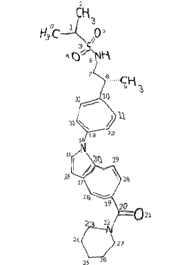 CC(C)S(=O)(=O)NC[C@H](C)c1ccc(-n2ccc3cc(C(=O)N4CCCCC4)ccc32)cc1